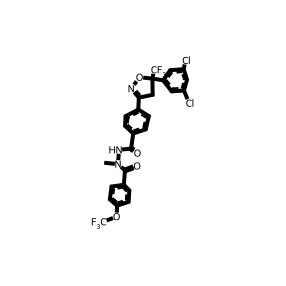 CN(NC(=O)c1ccc(C2=NOC(c3cc(Cl)cc(Cl)c3)(C(F)(F)F)C2)cc1)C(=O)c1ccc(OC(F)(F)F)cc1